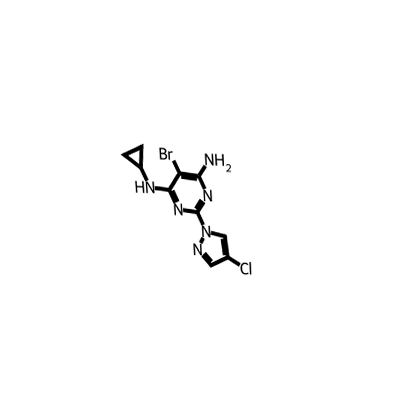 Nc1nc(-n2cc(Cl)cn2)nc(NC2CC2)c1Br